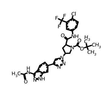 CC(=O)Nc1n[nH]c2cc(-c3cn(C4CC(C(=O)Nc5ccc(Cl)c(C(F)(F)F)c5)N(C(=O)OC(C)(C)C)C4)nn3)ccc12